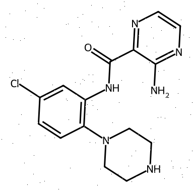 Nc1nccnc1C(=O)Nc1cc(Cl)ccc1N1CCNCC1